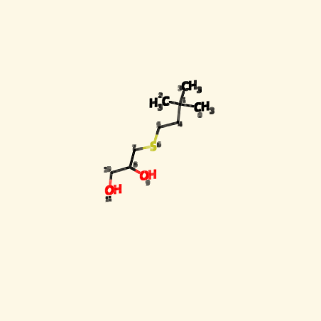 CC(C)(C)CCSCC(O)CO